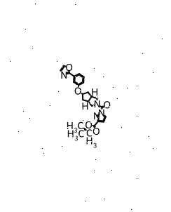 CC(C)(C)OC(=O)c1ccn(C(=O)N2C[C@H]3CC(Oc4cccc(-c5ncco5)c4)C[C@H]3C2)n1